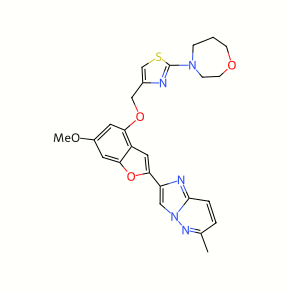 COc1cc(OCc2csc(N3CCCOCC3)n2)c2cc(-c3cn4nc(C)ccc4n3)oc2c1